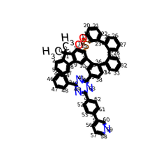 CC1(C)c2ccccc2-c2cc3c(cc21)S(=O)(=O)c1ccccc1-c1ccccc1-c1ccccc1-c1ccc(-c2nc(-c4ccccc4)nc(-c4ccc(-c5cccnc5)cc4)n2)cc1-3